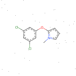 Cn1c[c]cc1Oc1cc(Cl)cc(Cl)c1